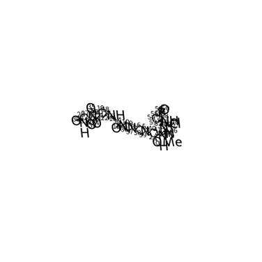 COc1cc(N2CCC(N3CCN(C(=O)CCNc4ccc5c(c4)C(=O)N(C4CCC(=O)NC4=O)C5=O)CC3)CC2)ccc1Nc1ncc(Cl)c(Nc2ccccc2P(C)(C)=O)n1